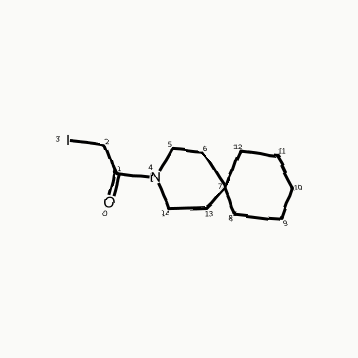 O=C(CI)N1CCC2(CCCCC2)CC1